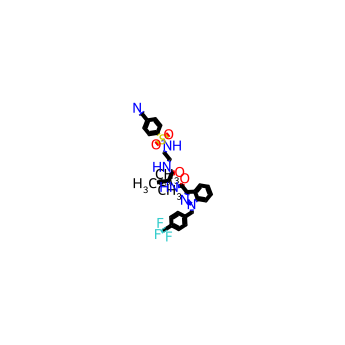 CC(C)(C)[C@H](NC(=O)c1nn(Cc2ccc(C(F)(F)F)cc2)c2ccccc12)C(=O)NCCNS(=O)(=O)c1ccc(C#N)cc1